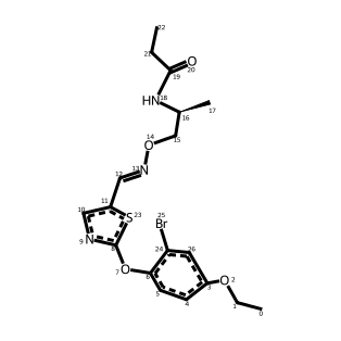 CCOc1ccc(Oc2ncc(C=NOC[C@H](C)NC(=O)CC)s2)c(Br)c1